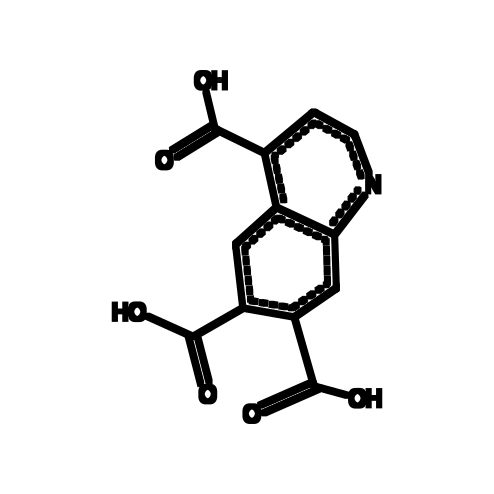 O=C(O)c1cc2nccc(C(=O)O)c2cc1C(=O)O